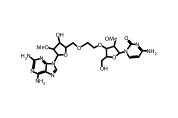 COC1C(OCCOCC2OC(n3cnc4c(N)nc(N)nc43)C(OC)C2O)C(CO)OC1n1ccc(N)nc1=O